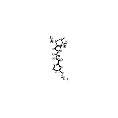 CCN[C@H]1CC(C)S(=O)(=O)c2sc(S(=O)(=O)NC(=O)c3cccc(CO[N+](=O)[O-])c3)cc21